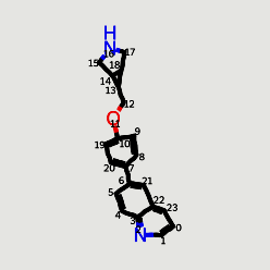 c1cnc2ccc(-c3ccc(OCC4C5CNCC54)cc3)cc2c1